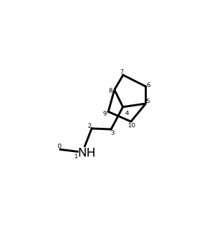 CNCCC1C2CCC1CC2